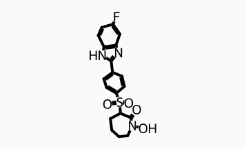 O=C1C(S(=O)(=O)c2ccc(-c3nc4cc(F)ccc4[nH]3)cc2)CCCCN1O